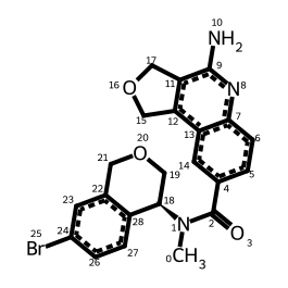 CN(C(=O)c1ccc2nc(N)c3c(c2c1)COC3)[C@@H]1COCc2cc(Br)ccc21